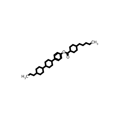 CCCCCC1CCC(C(=O)Oc2ccc(C3CCC(C4CCC(CCC)CC4)CC3)cc2)CC1